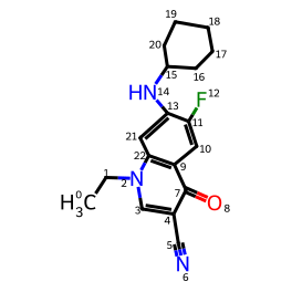 CCn1cc(C#N)c(=O)c2cc(F)c(NC3CCCCC3)cc21